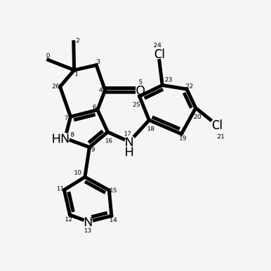 CC1(C)CC(=O)c2c([nH]c(-c3ccncc3)c2Nc2cc(Cl)cc(Cl)c2)C1